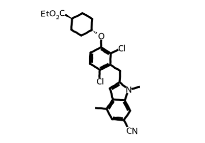 CCOC(=O)[C@H]1CC[C@H](Oc2ccc(Cl)c(Cc3cc4c(C)cc(C#N)cc4n3C)c2Cl)CC1